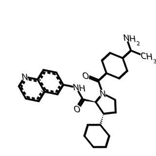 CC(N)C1CCC(C(=O)N2CC[C@H](C3CCCCC3)[C@H]2C(=O)Nc2ccc3ncccc3c2)CC1